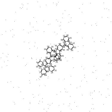 Cc1ccc([Si](c2ccccc2)(c2ccccc2)c2ccc3c(c2)c2ccccc2n3-c2ccccc2-n2c3ccccc3c3cc(-n4c5ccccc5c5ccccc54)ccc32)cc1